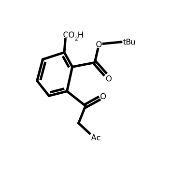 CC(=O)CC(=O)c1cccc(C(=O)O)c1C(=O)OC(C)(C)C